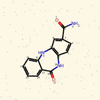 NC(=O)c1ccc2c(c1)Nc1ccccc1C(=O)N2